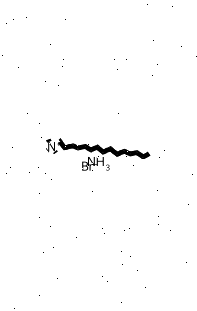 CCCCCCCCCCCCCCC[N+](C)(C)C.N.[Br-]